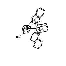 CC(C)(C)P(C[C]12[CH]3[C]4(C(C)(C)C)[CH]5[C]1(C(P)(c1ccc6ccccc6n1)c1ccc6ccccc6n1)[Fe]35241678[CH]2[CH]1[CH]6[CH]7[CH]28)C1C2CC3CC(C2)CC1C3